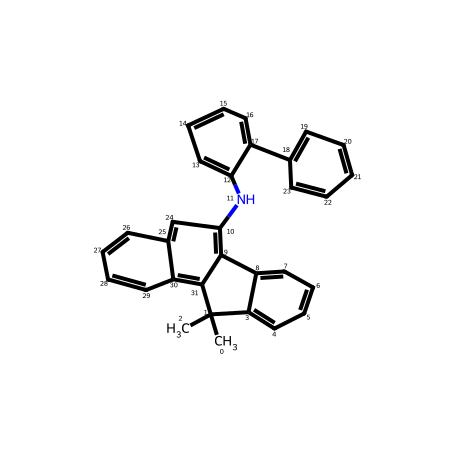 CC1(C)c2ccccc2-c2c(Nc3ccccc3-c3ccccc3)cc3ccccc3c21